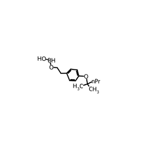 CCCC(C)(C)Oc1ccc(CCOBO)cc1